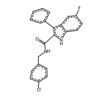 O=C(NCc1ccc(Cl)cc1)c1[nH]c2ccc(F)cc2c1-c1ccccc1